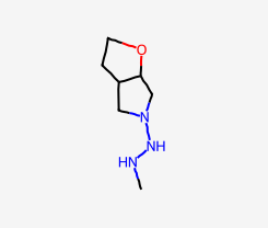 CNNN1CC2CCOC2C1